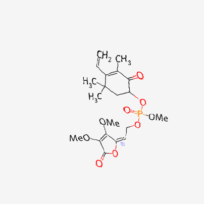 C=CC1=C(C)C(=O)C(OP(=O)(OC)OC/C=C2/OC(=O)C(OC)=C2OC)CC1(C)C